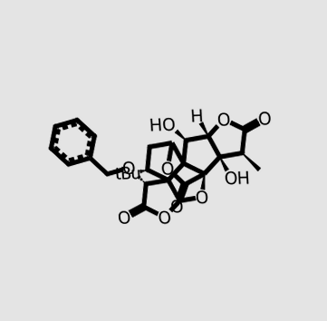 C[C@@H]1C(=O)O[C@H]2[C@H](O)C34C5C[C@@H](C(C)(C)C)C36C(OC(=O)[C@@H]6OCc3ccccc3)O[C@]4(C(=O)O5)[C@@]12O